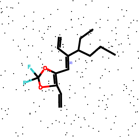 C=CC1=C(/C=C(\C=C)C(CC)CCC)OC(F)(F)O1